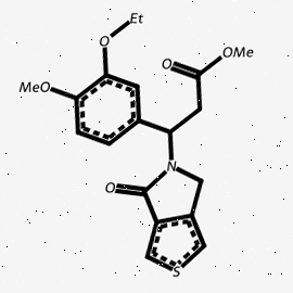 CCOc1cc(C(CC(=O)OC)N2Cc3cscc3C2=O)ccc1OC